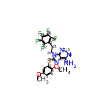 COc1ccc(OC)c(Sc2nc3c(N)ncnc3n2CCc2c(F)c(F)c(F)c(F)c2F)c1